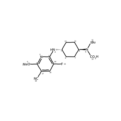 COc1nc(N[C@H]2CC[C@H](N(C(=O)O)C(C)(C)C)CC2)c(F)cc1C#N